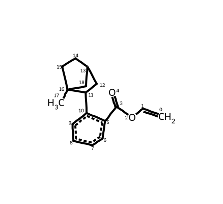 C=COC(=O)c1ccccc1C1CC2CCC1(C)C2